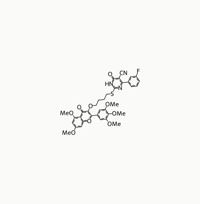 COc1cc(OC)c2c(=O)c(OCCCCSc3nc(-c4cccc(F)c4)c(C#N)c(=O)[nH]3)c(-c3cc(OC)c(OC)c(OC)c3)oc2c1